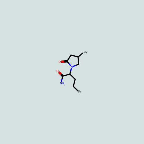 CCCC1CC(=O)N(C(CCC(C)C)C(N)=O)C1